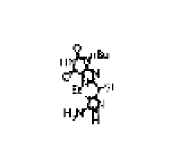 CCCCn1c(=O)[nH]c(=O)c2c1nc(C(S)c1n[nH]c(N)n1)n2CC